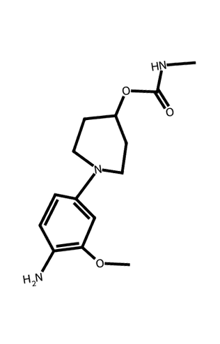 CNC(=O)OC1CCN(c2ccc(N)c(OC)c2)CC1